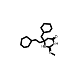 C/N=C1/BC(CCC2CCCCC2)(CC2CCCCC2)CC(=O)N1